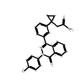 NC(=O)CC1(c2cccc(-c3nn(-c4ccc(Cl)cc4)c(=O)c4ccccc34)c2)CC1